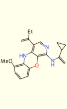 C=C(CC)c1cnc(NC(=C)C2CC2)c2c1Nc1c(OC)cccc1O2